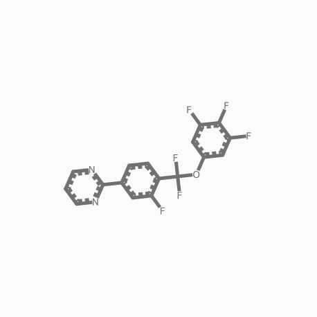 Fc1cc(-c2ncccn2)ccc1C(F)(F)Oc1cc(F)c(F)c(F)c1